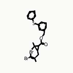 CC(CC1C(C(=O)OCc2cccc(Sc3ccccc3)c2)C1(C)C)=C(Br)Br